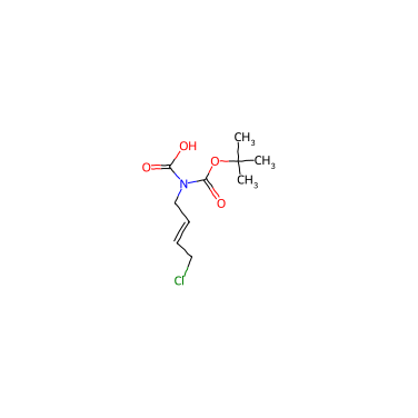 CC(C)(C)OC(=O)N(C/C=C/CCl)C(=O)O